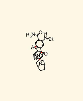 CCNc1cc(C(=O)NC2CC3CCC(C2)N3c2ccc(C(C)=O)cn2)ccc1C(N)=O